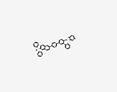 Cc1ccc2nc3c4ccc(-c5ccc(-c6ccc7cc(P(=O)(c8ccccc8)c8ccccc8)ccc7c6)cc5)cc4c4ccccc4n3c2c1